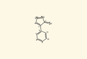 S=C1N=N[C]=C1c1ccccc1